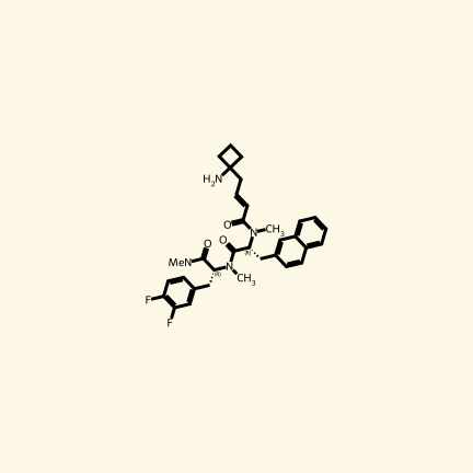 CNC(=O)[C@@H](Cc1ccc(F)c(F)c1)N(C)C(=O)[C@@H](Cc1ccc2ccccc2c1)N(C)C(=O)C=CCC1(N)CCC1